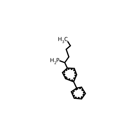 CCCCC(P)c1ccc(-c2ccccc2)cc1